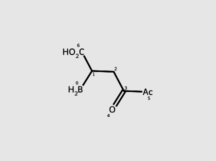 BC(CC(=O)C(C)=O)C(=O)O